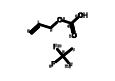 C=CCOC(=O)O.CC(F)(F)F